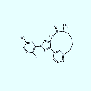 CC1CCCCc2cc(ccn2)-c2nn(-c3cc(O)ncc3F)cc2NC1=O